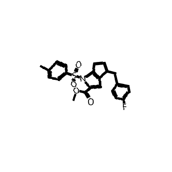 COC(=O)c1cc2c(n1S(=O)(=O)c1ccc(C)cc1)CCC2Cc1ccc(F)cc1